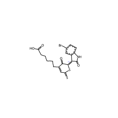 O=C(O)CCCCCC1=CC(=S)S/C(=C2\C(=O)Nc3ccc(Br)cc32)C1=O